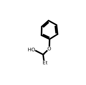 CC[C](O)Oc1ccccc1